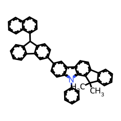 CC1(C)c2ccccc2-c2ccc3c4cc(-c5ccc6c(c5)-c5ccccc5C6c5cccc6ccccc56)ccc4n(-c4ccccc4)c3c21